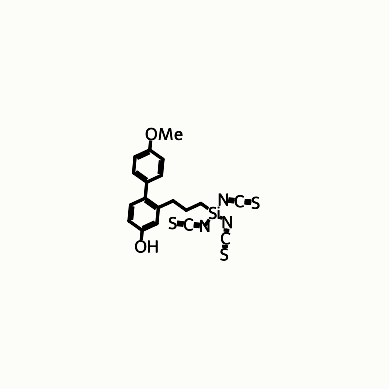 COc1ccc(-c2ccc(O)cc2CCC[Si](N=C=S)(N=C=S)N=C=S)cc1